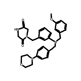 COc1cccc(CN(Cc2ccc(N3CCOCC3)cc2)c2cccc(CN3CC(=O)NCC3=O)c2)c1